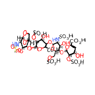 CS(=O)(=O)N[C@@H]1[C@@H]2OC[C@@H](O2)C(O[C@@H]2OC(C(=O)O)C(OC3O[C@H](COS(=O)(=O)O)[C@@H](O[C@@H]4OC(C(=O)O)=C[C@H](O)[C@H]4OS(=O)(=O)O)[C@H](O)[C@H]3NS(=O)(=O)O)[C@H](O)[C@H]2OS(=O)(=O)O)[C@@H]1O